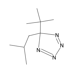 CC(C)CC1(C(C)(C)C)N=NN=N1